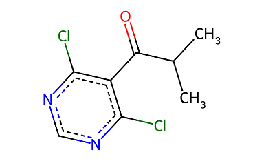 CC(C)C(=O)c1c(Cl)ncnc1Cl